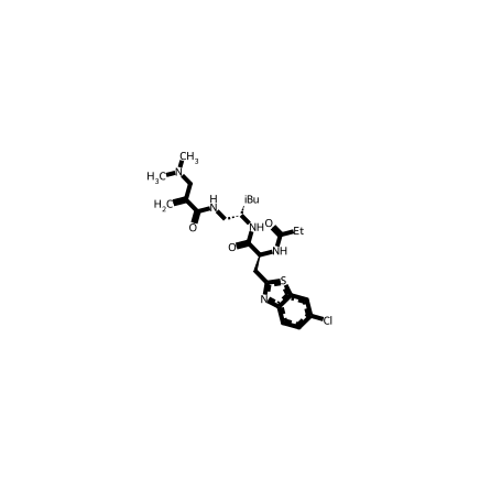 C=C(CN(C)C)C(=O)NC[C@@H](NC(=O)[C@H](Cc1nc2ccc(Cl)cc2s1)NC(=O)CC)[C@@H](C)CC